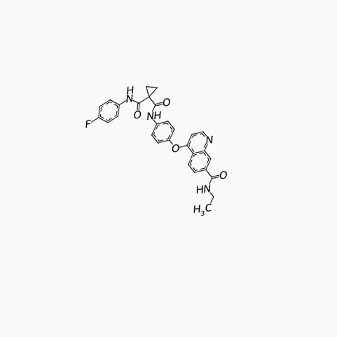 CCNC(=O)c1ccc2c(Oc3ccc(NC(=O)C4(C(=O)Nc5ccc(F)cc5)CC4)cc3)ccnc2c1